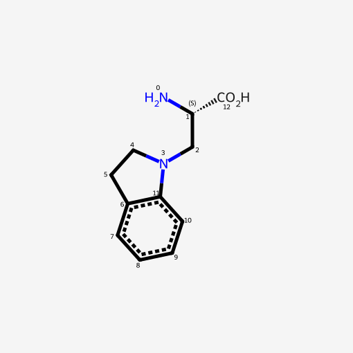 N[C@@H](CN1CCc2ccccc21)C(=O)O